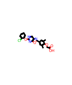 Cc1cc(-c2nc3cnc(Oc4ccccc4Cl)nc3o2)cc(C)c1OCC(=O)O